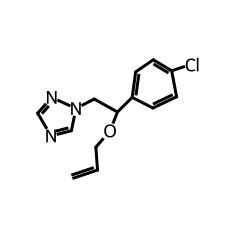 C=CCOC(Cn1cncn1)c1ccc(Cl)cc1